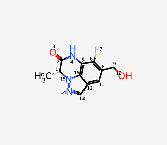 C[C@@H]1C(=O)Nc2c(F)c(CO)cc3cnn1c23